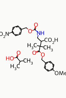 CC(C)C(=O)O.COc1ccc(COC(=O)C(C)(C)C(CNC(=O)OCc2ccc([N+](=O)[O-])cc2)C(=O)O)cc1